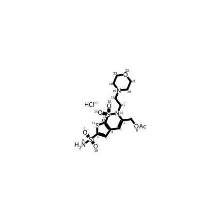 CC(=O)OCC1=Cc2cc(S(N)(=O)=O)sc2S(=O)(=O)N1CCN1CCOCC1.Cl